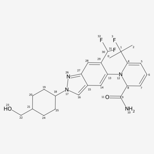 CC(C)(F)C1=CC=CC(C(N)=O)N1c1cc2cn(C3CCC(CO)CC3)nc2cc1C(F)F